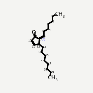 CCCCCC/C=C1\C(=O)C=CC1CCCCCCCC